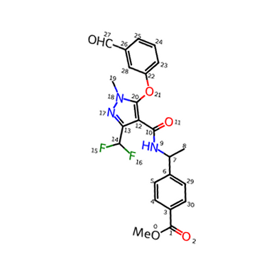 COC(=O)c1ccc(C(C)NC(=O)c2c(C(F)F)nn(C)c2Oc2cccc(C=O)c2)cc1